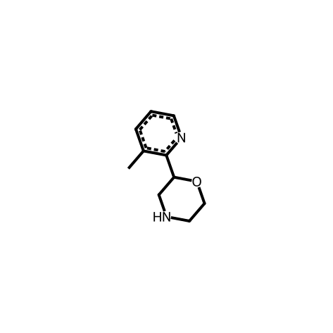 Cc1cccnc1C1CNCCO1